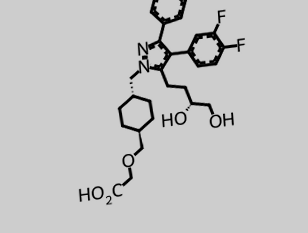 O=C(O)COC[C@H]1CC[C@H](Cn2nc(-c3ccccc3)c(-c3ccc(F)c(F)c3)c2CC[C@@H](O)CO)CC1